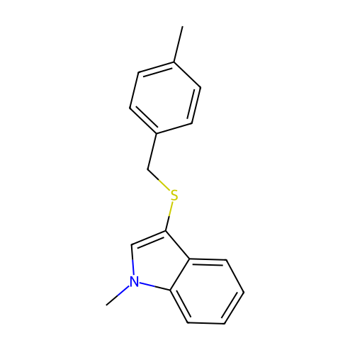 Cc1ccc(CSc2cn(C)c3ccccc23)cc1